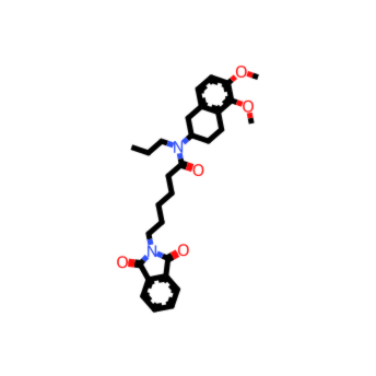 CCCN(C(=O)CCCCCN1C(=O)c2ccccc2C1=O)C1CCc2c(ccc(OC)c2OC)C1